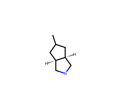 CC1C[C@H]2C[N]C[C@H]2C1